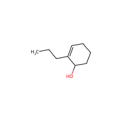 CCCC1=CCCCC1O